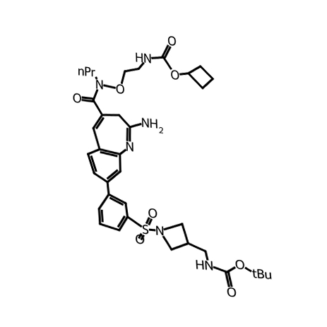 CCCN(OCCNC(=O)OC1CCC1)C(=O)C1=Cc2ccc(-c3cccc(S(=O)(=O)N4CC(CNC(=O)OC(C)(C)C)C4)c3)cc2N=C(N)C1